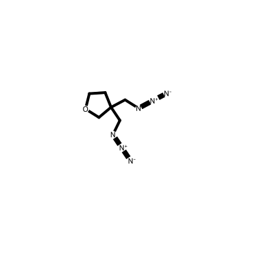 [N-]=[N+]=NCC1(CN=[N+]=[N-])CCOC1